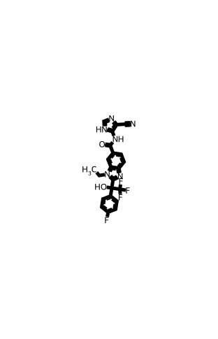 CCn1c(C(O)(c2ccc(F)cc2)C(F)(F)F)nc2ccc(C(=O)Nc3[nH]cnc3C#N)cc21